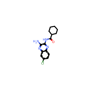 Nc1nc2cc(Cl)ccc2nc1NC(=O)C1CCCCC1